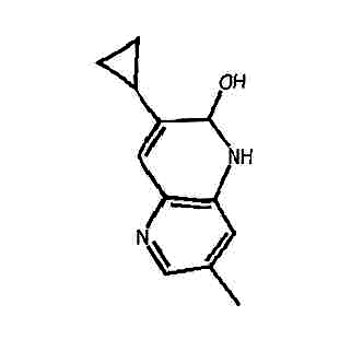 Cc1cnc2c(c1)NC(O)C(C1CC1)=C2